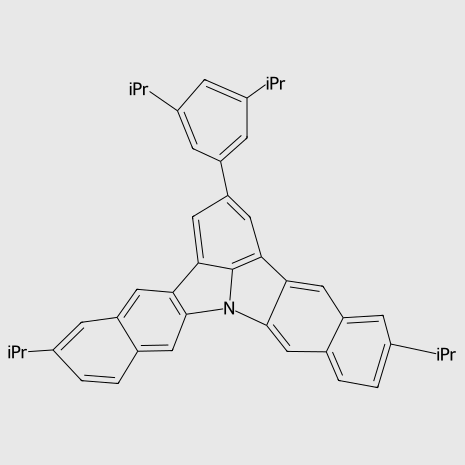 CC(C)c1cc(-c2cc3c4cc5cc(C(C)C)ccc5cc4n4c5cc6ccc(C(C)C)cc6cc5c(c2)c34)cc(C(C)C)c1